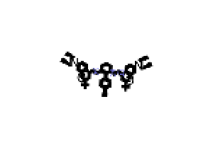 C#CCN(CC#C)c1ccc2c(c1)OC(C(C)(C)C)C=C2/C=C/C1=C(c2ccc(C#C)cc2)C(=C/C=C2\C=C(C(C)(C)C)Oc3cc(N(CC#C)CC#C)ccc32)/CCC1